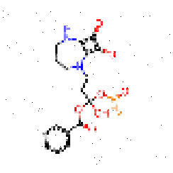 O=[PH2]OC(O)(CCN1CCCNc2c1c(=O)c2=O)OC(=O)c1ccccc1